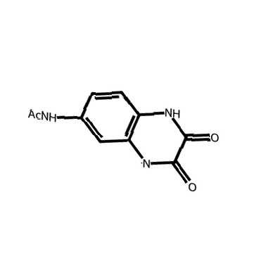 CC(=O)Nc1ccc2c(c1)[N]C(=O)C(=O)N2